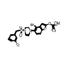 O=C(O)Oc1cc2c(Br)c(N3CCN(S(=O)(=O)Cc4cccc(Cl)c4)CC3)ccc2o1